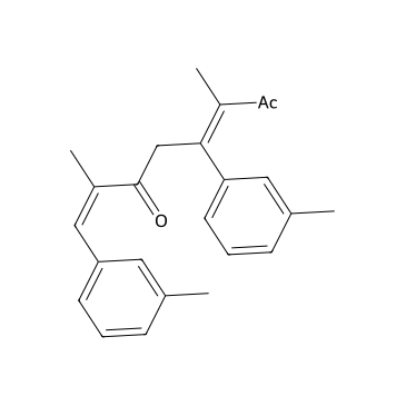 CC(=O)C(C)=C(CC(=O)C(C)=Cc1cccc(C)c1)c1cccc(C)c1